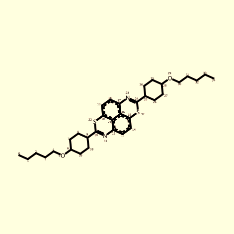 CCCCCOC1CCC(C2=Nc3ccc4c5c(ccc(c35)S2)N=C(C2CCC(OCCCCC)CC2)S4)CC1